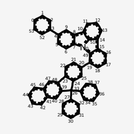 c1ccc(-c2ccc3c(c2)c2cccc4c5cccc(-c6ccc7c(c6)C(c6ccccc6)(c6ccccc6)c6cc8ccccc8cc6-7)c5n3c24)cc1